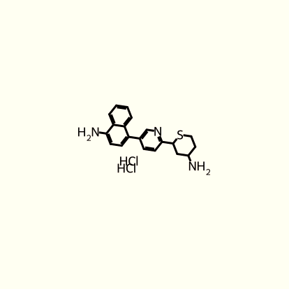 Cl.Cl.Nc1ccc(-c2ccc(C3CC(N)CCS3)nc2)c2ccccc12